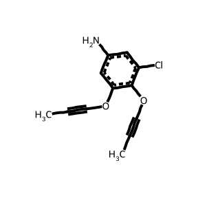 CC#COc1cc(N)cc(Cl)c1OC#CC